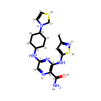 Cc1cc(Nc2nc(NC3CCC(N4C=CSC4)CC3)cnc2C(N)=O)sn1